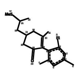 CCc1cc(C)cc(C)c1C1=C(C)CC(CC(C)SC)CC1=O